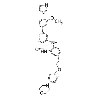 COc1cc(-c2ccc3c(c2)Nc2ccc(CCOc4ccc(N5CCOCC5)cc4)cc2NC3=O)ccc1-n1ccnc1